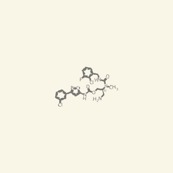 CN(C(=O)NCc1cccc(F)c1Cl)[C@@H](CN)COC(=O)Nc1cc(-c2cccc(Cl)c2)no1